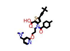 CC1CCC(C(=O)N(c2cc(C#CC(C)(C)C)sc2C(=O)O)[C@@H](C)CCOc2cc(CN(C)C)ccn2)CC1